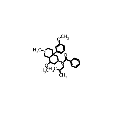 COc1cccc(C23CCN(C)CC2C(OC)C[C@H](N(CC(C)C)C(=O)c2ccccc2)C3)c1